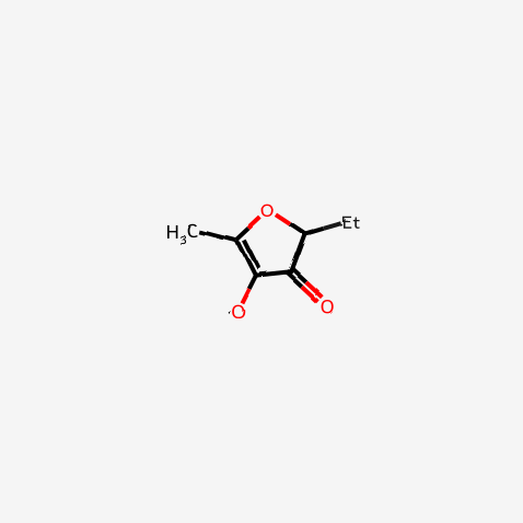 CCC1OC(C)=C([O])C1=O